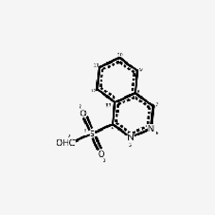 O=CS(=O)(=O)c1nncc2ccccc12